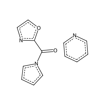 O=C(c1ncco1)n1cccc1.c1ccncc1